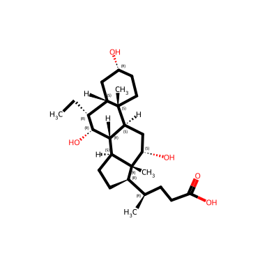 CC[C@H]1[C@@H](O)[C@@H]2[C@H](C[C@H](O)[C@]3(C)[C@@H]([C@H](C)CCC(=O)O)CC[C@@H]23)[C@@]2(C)CC[C@@H](O)C[C@@H]12